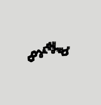 CN(Cc1csc(NC(=O)NCc2cccc(F)c2)n1)C(=O)Cc1ccc2ccccc2c1